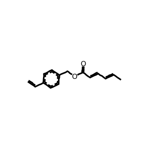 C=Cc1ccc(COC(=O)C=CC=CC)cc1